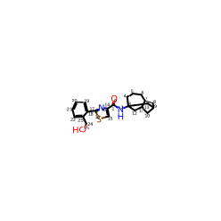 O=C(NC12CCCC3CC(CC3C1)C2)c1csc(-c2ccccc2CO)n1